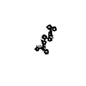 C1=CCCC(C2=NC(c3ccccc3)=NC(c3ccc4c(c3)sc3cccc(-c5cccc6sc7cc(-n8c9ccccc9c9ccccc98)ccc7c56)c34)N2)=C1